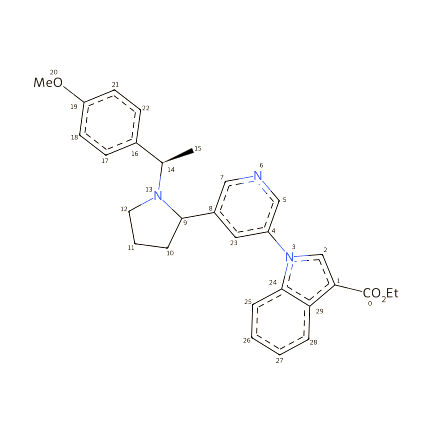 CCOC(=O)c1cn(-c2cncc(C3CCCN3[C@H](C)c3ccc(OC)cc3)c2)c2ccccc12